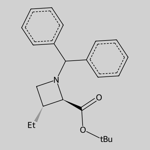 CC[C@@H]1CN(C(c2ccccc2)c2ccccc2)[C@H]1C(=O)OC(C)(C)C